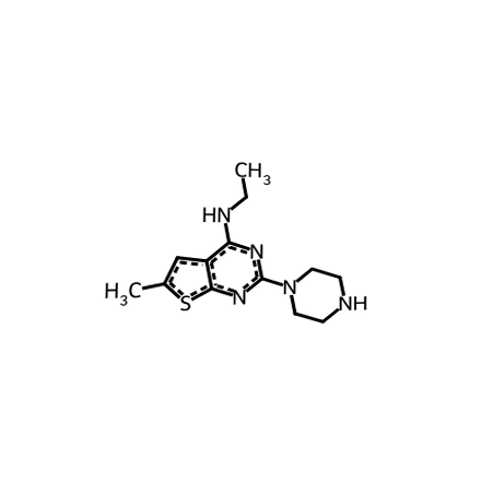 CCNc1nc(N2CCNCC2)nc2sc(C)cc12